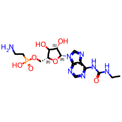 CCNC(=O)Nc1ncnc2c1ncn2[C@@H]1O[C@H](COP(=O)(O)CCN)C(O)[C@@H]1O